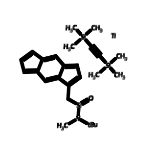 CN([Si](=O)CC1=CC=c2cc3c(cc21)=CC=C3)C(C)(C)C.C[Si](C)(C)C#C[Si](C)(C)C.[Ti]